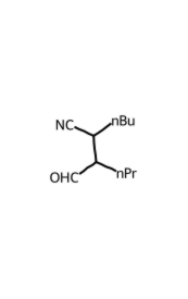 CCCCC(C#N)C(C=O)CCC